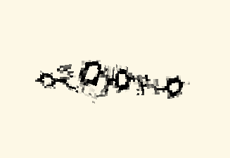 O=C(O)CC(c1cccnc1)[S+]([O-])c1ccc(NC(=O)c2ccc(NC(=O)NCc3ccccc3)cc2)cc1